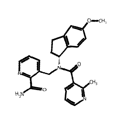 COc1ccc2c(c1)CC[C@H]2N(Cc1cccnc1C(N)=O)C(=O)c1cccnc1C